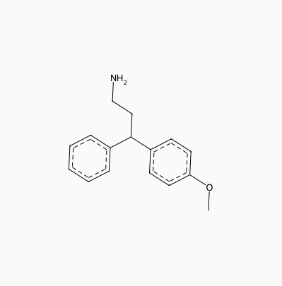 COc1ccc(C(CCN)c2ccccc2)cc1